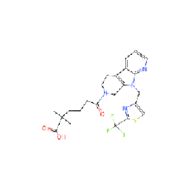 CC(C)(CCCC(=O)N1CCc2c(n(Cc3csc(C(F)(F)F)n3)c3ncccc23)C1)C(=O)O